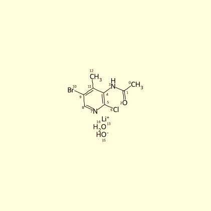 CC(=O)Nc1c(Cl)ncc(Br)c1C.O.[Li+].[OH-]